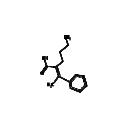 CCCC/C(C(=O)O)=C(/C)c1ccccc1